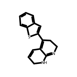 C1=CC2=C(c3cc4ccccc4s3)CCN=C2NC1